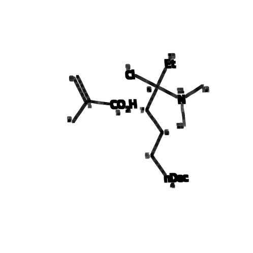 C=C(C)C(=O)O.CCCCCCCCCCCCCC(Cl)(CC)N(C)C